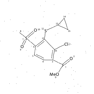 COC(=O)c1ccc(S(C)(=O)=O)c(SC2CC2)c1Cl